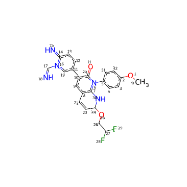 COc1ccc(-n2c3c(cc(-c4ccc(=N)n(C=N)c4)c2=O)C=CC(OCC(F)F)N3)cc1